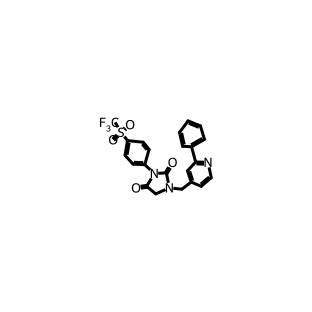 O=C1CN(Cc2ccnc(-c3ccccc3)c2)C(=O)N1c1ccc(S(=O)(=O)C(F)(F)F)cc1